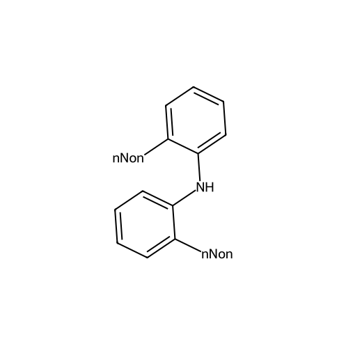 CCCCCCCCCc1ccccc1Nc1ccccc1CCCCCCCCC